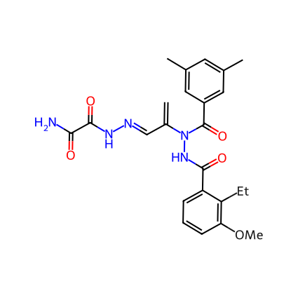 C=C(/C=N/NC(=O)C(N)=O)N(NC(=O)c1cccc(OC)c1CC)C(=O)c1cc(C)cc(C)c1